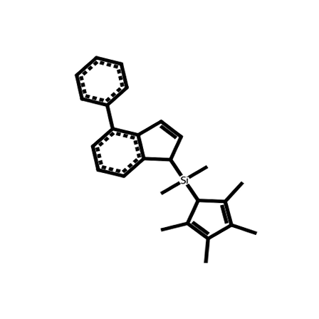 CC1=C(C)C([Si](C)(C)C2C=Cc3c(-c4ccccc4)cccc32)C(C)=C1C